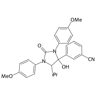 COc1ccc(N2C(=O)N(c3ccc(OC)cc3)C(O)(c3cccc(C#N)c3)C2C(C)C)cc1